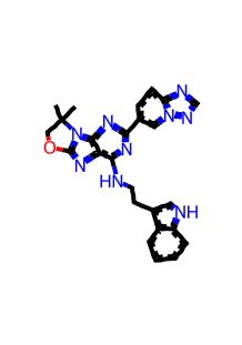 CC1(C)COc2nc3c(NCCc4c[nH]c5ccccc45)nc(-c4ccc5ncnn5c4)nc3n21